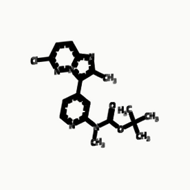 Cc1nc2ccc(Cl)nn2c1-c1ccnc(N(C)C(=O)OC(C)(C)C)c1